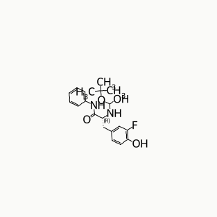 CC(C)(C)OC(O)N[C@H](Cc1ccc(O)c(F)c1)C(=O)Nc1ccccc1